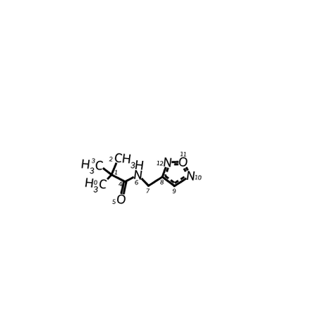 CC(C)(C)C(=O)NCc1cnon1